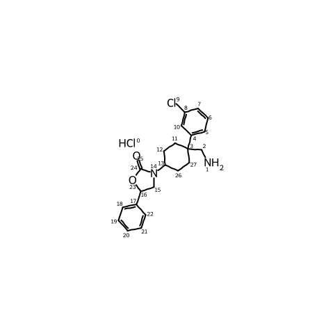 Cl.NCC1(c2cccc(Cl)c2)CCC(N2CC(c3ccccc3)OC2=O)CC1